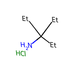 CCC(N)(CC)CC.Cl